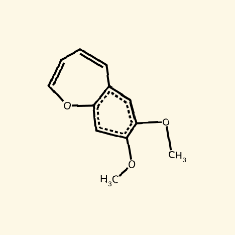 COc1cc2c(cc1OC)OC=CC=C2